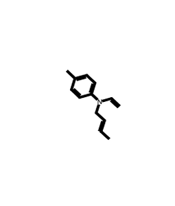 C=CN(CC=CC)c1ccc(C)cc1